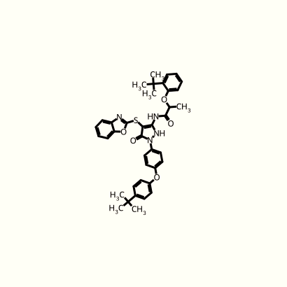 CC(Oc1ccccc1C(C)(C)C)C(=O)Nc1[nH]n(-c2ccc(Oc3ccc(C(C)(C)C)cc3)cc2)c(=O)c1Sc1nc2ccccc2o1